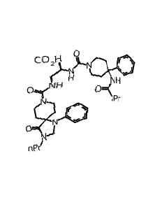 CCCN1CN(c2ccccc2)C2(CCN(C(=O)NCC(NC(=O)N3CCC(NC(=O)C(C)C)(c4ccccc4)CC3)C(=O)O)CC2)C1=O